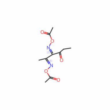 CCC(=O)C(=N\OC(C)=O)/C(C)=N/OC(C)=O